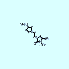 COC1CCN(CCN2CC(C(C)C)N(C(C)C)C2=O)C1